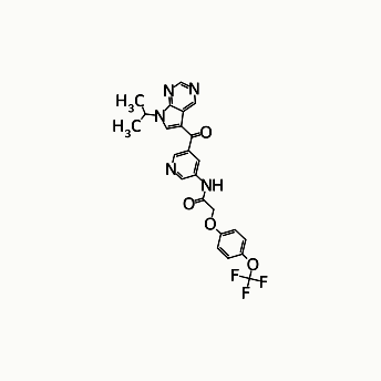 CC(C)n1cc(C(=O)c2cncc(NC(=O)COc3ccc(OC(F)(F)F)cc3)c2)c2cncnc21